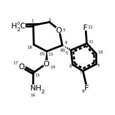 C=C1CO[C@H](c2cc(F)ccc2F)[C@@H](OC(N)=O)C1